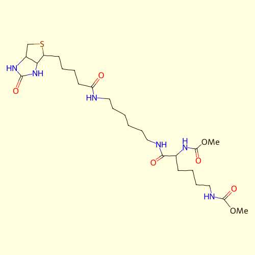 COC(=O)NCCCCC(NC(=O)OC)C(=O)NCCCCCCNC(=O)CCCCC1SCC2NC(=O)NC21